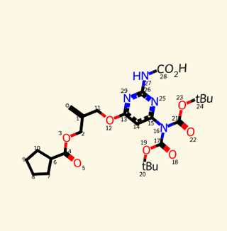 C=C(COC(=O)C1CCCC1)COc1cc(N(C(=O)OC(C)(C)C)C(=O)OC(C)(C)C)nc(NC(=O)O)n1